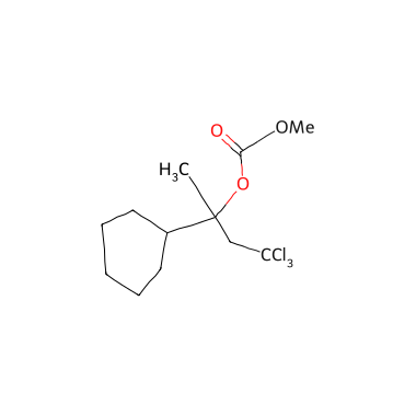 COC(=O)OC(C)(CC(Cl)(Cl)Cl)C1CCCCC1